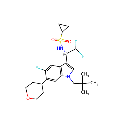 CC(C)(C)Cn1cc([C@H](NS(=O)(=O)C2CC2)C(F)F)c2cc(F)c(C3CCOCC3)cc21